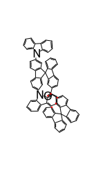 O=C(c1ccc2c(c1)C1(c3ccccc3-c3ccccc31)c1ccccc1-2)c1ccc2c(c1)C1(c3ccccc3-2)c2cc(-n3c4ccccc4c4ccccc43)ccc2-c2ccc(-n3c4ccccc4c4ccccc43)cc21